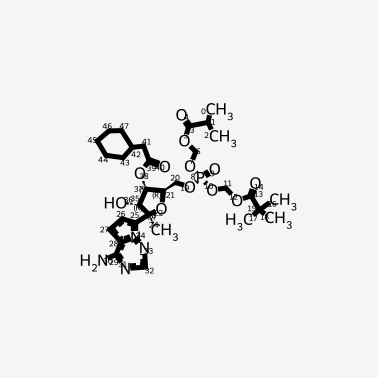 CC(C)C(=O)OCOP(=O)(OCOC(=O)C(C)(C)C)OC[C@H]1O[C@@](C)(c2ccc3c(N)ncnn23)[C@H](O)[C@@H]1OC(=O)CC1CCCCC1